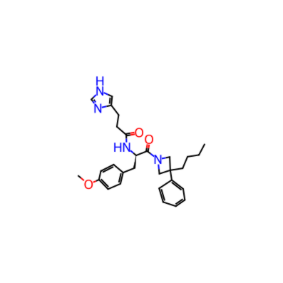 CCCCC1(c2ccccc2)CN(C(=O)[C@@H](Cc2ccc(OC)cc2)NC(=O)CCc2c[nH]cn2)C1